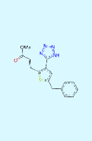 COC(=O)C=Cc1sc(Cc2ccccc2)cc1-c1nnn[nH]1